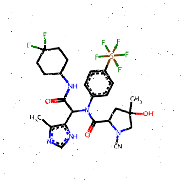 Cc1nc[nH]c1C(C(=O)NC1CCC(F)(F)CC1)N(C(=O)C1CC(C)(O)CN1C#N)c1ccc(S(F)(F)(F)(F)F)cc1